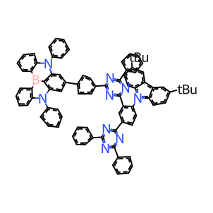 CC(C)(C)c1ccc2c(c1)c1cc(C(C)(C)C)ccc1n2-c1ccc(-c2nc(-c3ccccc3)nc(-c3ccccc3)n2)cc1-c1nc(-c2ccccc2)nc(-c2ccc(-c3cc4c5c(c3)N(c3ccccc3)c3ccccc3B5c3ccccc3N4c3ccccc3)cc2)n1